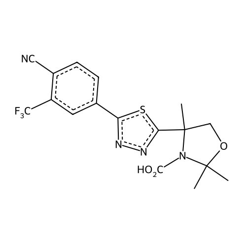 CC1(C)OCC(C)(c2nnc(-c3ccc(C#N)c(C(F)(F)F)c3)s2)N1C(=O)O